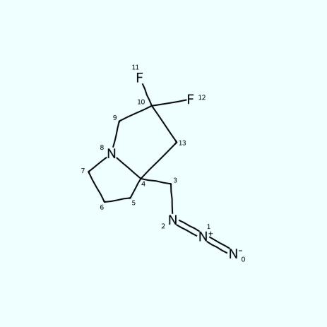 [N-]=[N+]=NCC12CCCN1CC(F)(F)C2